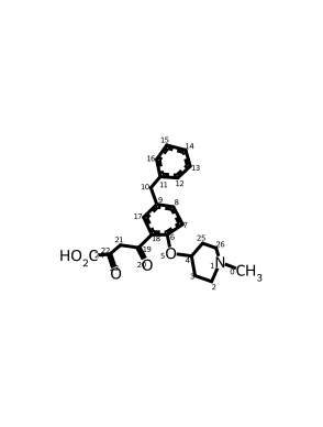 CN1CCC(Oc2ccc(Cc3ccccc3)cc2C(=O)CC(=O)C(=O)O)CC1